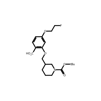 CC(C)(C)OC(=O)N1CCCC(COc2cc(OCCF)ccc2C(=O)O)C1